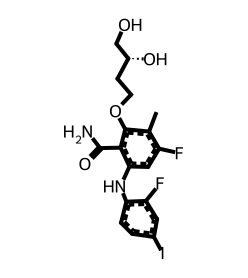 Cc1c(F)cc(Nc2ccc(I)cc2F)c(C(N)=O)c1OCC[C@@H](O)CO